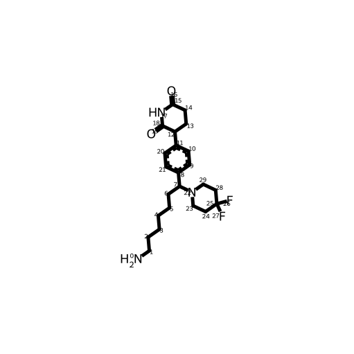 NCCCCCCC(c1ccc(C2CCC(=O)NC2=O)cc1)N1CCC(F)(F)CC1